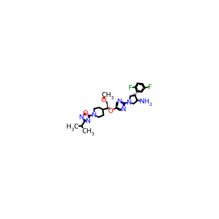 COC[C@@H](Oc1cnc(N2C[C@H](c3cc(F)ccc3F)[C@@H](N)C2)nc1)C1CCN(c2nc(C(C)C)no2)CC1